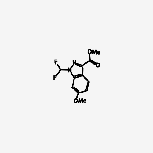 COC(=O)c1nn(C(F)F)c2cc(OC)ccc12